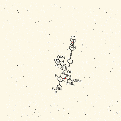 COC(=O)N[C@H](C(=O)N[C@@H](Cc1ccc(C#Cc2cnc(N3CC4CCC(C3)N4C3COC3)cc2C)cc1)[C@@H](O)CN(Cc1c(F)cc(-c2cnn(C(F)F)c2)cc1F)NC(=O)[C@@H](NC(=O)OC)C(C)(C)C(F)(F)F)C(C)(C)C(F)(F)F